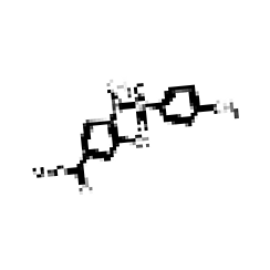 CCc1cc(C(=O)OC)ccc1N(C)S(=O)(=O)c1ccc(C)cc1